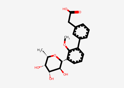 COc1c(-c2cccc(CC(=O)O)c2)cccc1[C@H]1O[C@@H](C)[C@@H](O)[C@@H](O)[C@@H]1O